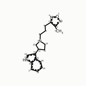 Cc1nonc1CCCN1CCC(c2c[nH]c3ccccc23)C1